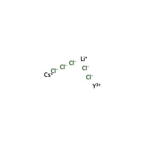 [Cl-].[Cl-].[Cl-].[Cl-].[Cl-].[Cs+].[Li+].[Y+3]